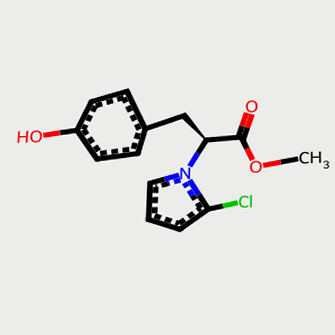 COC(=O)[C@H](Cc1ccc(O)cc1)n1cccc1Cl